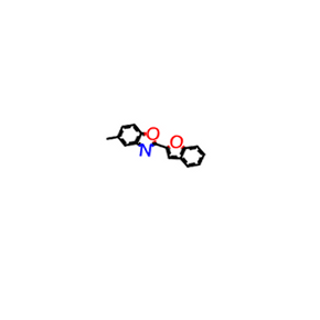 Cc1ccc2oc(-c3cc4ccccc4o3)nc2c1